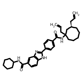 C=CC[C@H]1CCCCCC(CC=C)(NC(=O)c2ccc(-c3nc4cc(C(=O)NC5CCCCC5)ccc4[nH]3)cc2)C1